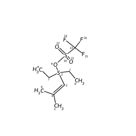 CCS(C=C(C)C)(CC)OS(=O)(=O)C(F)(F)F